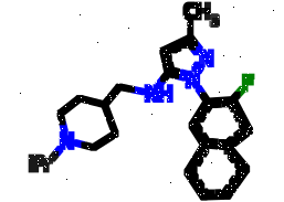 Cc1cc(NCC2CCN(C(C)C)CC2)n(-c2cc3ccccc3cc2F)n1